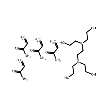 C=CC(N)=O.C=CC(N)=O.C=CC(N)=O.C=CC(N)=O.OCCN(CCO)CCN(CCO)CCO